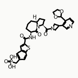 O=C(N[C@H]1CCC[C@H]2CC[C@@H](C(=O)N3CC(c4cnccc4C4OCCO4)C3)N2C1=O)c1cc2cc(CP(=O)(O)O)ccc2s1